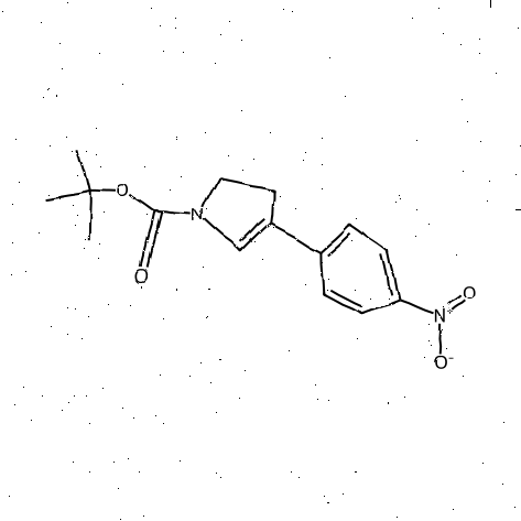 CC(C)(C)OC(=O)N1C=C(c2ccc([N+](=O)[O-])cc2)CC1